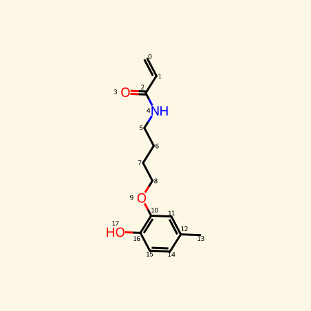 C=CC(=O)NCCCCOc1cc(C)ccc1O